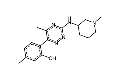 Cc1ccc(-c2nnc(NC3CCCN(C)C3)nc2C)c(O)c1